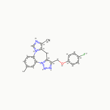 Cc1ccc2c(c1)-n1nnc(COc3ccc(F)cc3)c1Cc1c(C#N)ncn1-2